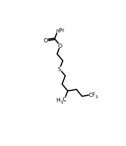 CCCC(=O)OCCSCCC(C)CCC(F)(F)F